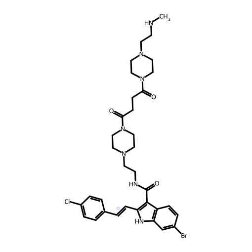 CNCCN1CCN(C(=O)CCC(=O)N2CCN(CCNC(=O)c3c(/C=C/c4ccc(Cl)cc4)[nH]c4cc(Br)ccc34)CC2)CC1